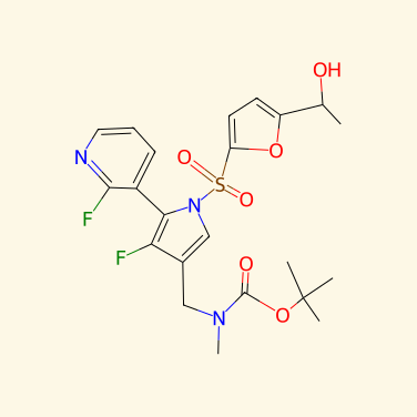 CC(O)c1ccc(S(=O)(=O)n2cc(CN(C)C(=O)OC(C)(C)C)c(F)c2-c2cccnc2F)o1